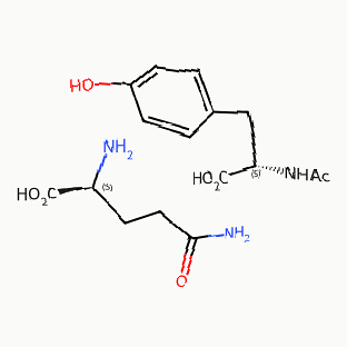 CC(=O)N[C@@H](Cc1ccc(O)cc1)C(=O)O.NC(=O)CC[C@H](N)C(=O)O